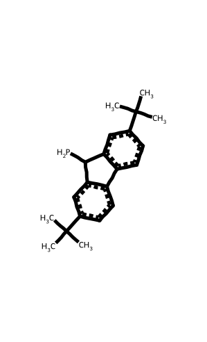 CC(C)(C)c1ccc2c(c1)C(P)c1cc(C(C)(C)C)ccc1-2